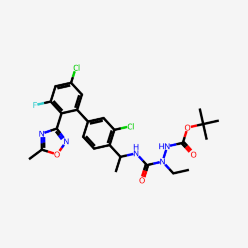 CCN(NC(=O)OC(C)(C)C)C(=O)NC(C)c1ccc(-c2cc(Cl)cc(F)c2-c2noc(C)n2)cc1Cl